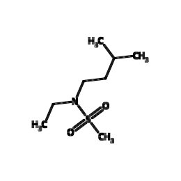 CCN(CCC(C)C)S(C)(=O)=O